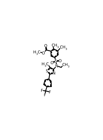 CCN(c1nc(-c2ccc(C(F)(F)F)cc2)sc1C)S(=O)(=O)c1cc(C)c(C)c(C(=O)OC)c1